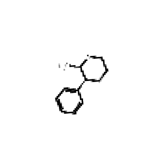 C[C@H]1NCCC[C@H]1c1ccccc1